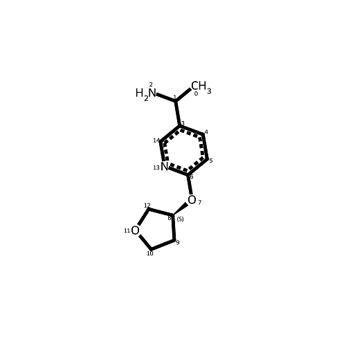 CC(N)c1ccc(O[C@H]2CCOC2)nc1